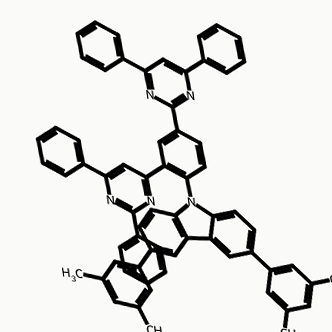 Cc1cc(C)cc(-c2ccc3c(c2)c2cc(-c4cc(C)cc(C)c4)ccc2n3-c2ccc(-c3nc(-c4ccccc4)cc(-c4ccccc4)n3)cc2-c2cc(-c3ccccc3)nc(-c3ccccc3)n2)c1